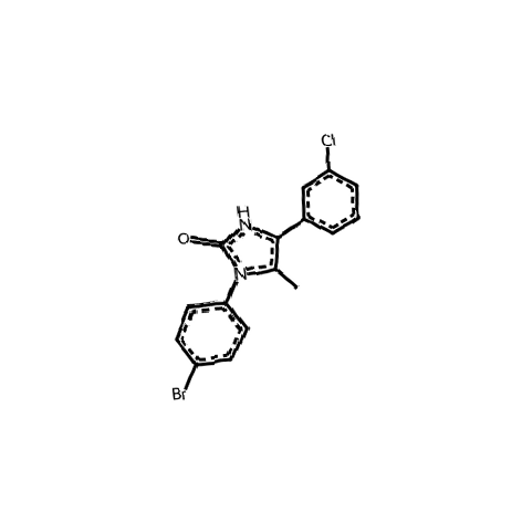 Cc1c(-c2cccc(Cl)c2)[nH]c(=O)n1-c1ccc(Br)cc1